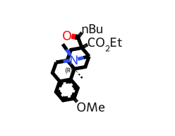 CCCCC(=O)C1(C(=O)OCC)CC2C3Cc4ccc(OC)cc4[C@]2(C)CC1N3C